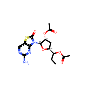 CCC(OC(C)=O)[C@@H]1C[C@@H](OC(C)=O)[C@H](n2c(=O)sc3cnc(N)nc32)O1